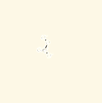 [Cu+2].[O-]OO[O-]